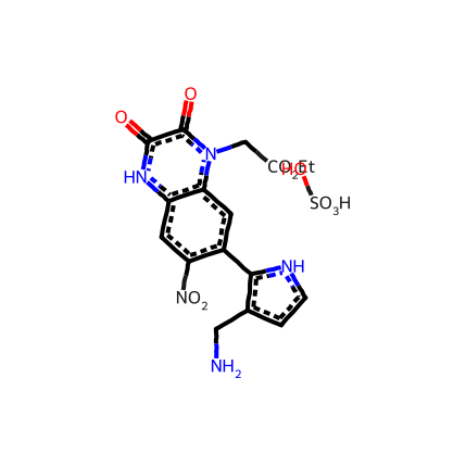 CCOC(=O)Cn1c(=O)c(=O)[nH]c2cc([N+](=O)[O-])c(-c3[nH]ccc3CN)cc21.O=S(=O)(O)O